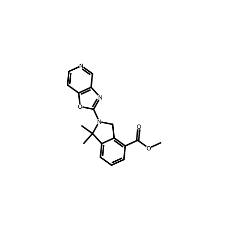 COC(=O)c1cccc2c1CN(c1nc3cnccc3o1)C2(C)C